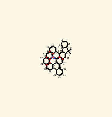 CC1(C)c2ccccc2-c2c(-c3ccccc3N(c3ccccc3)c3cccc(-c4ccccc4)c3-c3ccccc3-c3ccccc3)cccc21